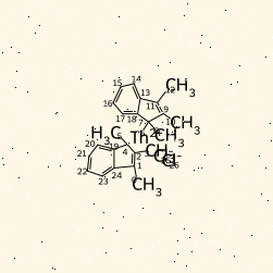 CC1=C(C)[C](C)([Th+2][C]2(C)C(C)=C(C)c3ccccc32)c2ccccc21.[Cl-].[Cl-]